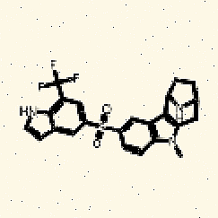 Cn1c2c(c3cc(S(=O)(=O)c4cc(C(F)(F)F)c5[nH]ccc5c4)ccc31)C1CCC(C2)N1